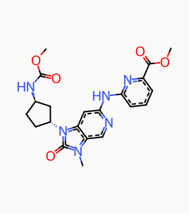 COC(=O)N[C@@H]1CC[C@@H](n2c(=O)n(C)c3cnc(Nc4cccc(C(=O)OC)n4)cc32)C1